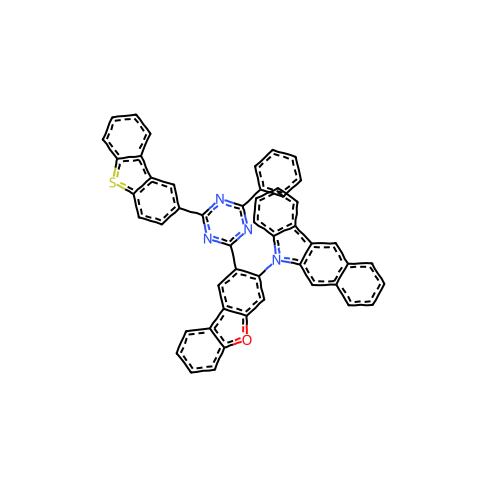 c1ccc(-c2nc(-c3ccc4sc5ccccc5c4c3)nc(-c3cc4c(cc3-n3c5ccccc5c5cc6ccccc6cc53)oc3ccccc34)n2)cc1